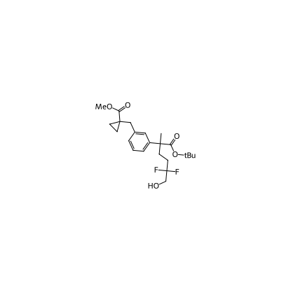 COC(=O)C1(Cc2cccc(C(C)(CCC(F)(F)CO)C(=O)OC(C)(C)C)c2)CC1